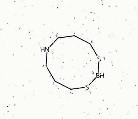 B1SCCCNCCCS1